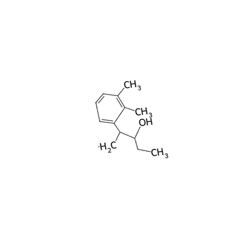 [CH2]C(c1cccc(C)c1C)C(O)CC